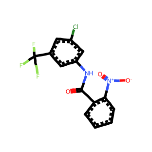 O=C(Nc1cc(Cl)cc(C(F)(F)F)c1)c1ccccc1[N+](=O)[O-]